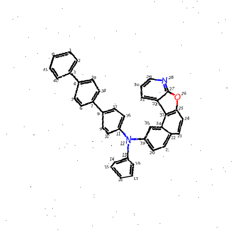 c1ccc(-c2ccc(-c3ccc(N(c4ccccc4)c4ccc5ccc6oc7ncccc7c6c5c4)cc3)cc2)cc1